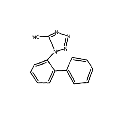 N#Cc1nnnn1-c1ccccc1-c1ccccc1